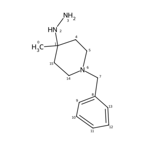 CC1(NN)CCN(Cc2ccccc2)CC1